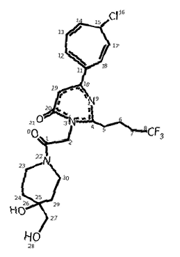 O=C(Cn1c(CCCC(F)(F)F)nc(C2=CC=CC(Cl)C=C2)cc1=O)N1CCC(O)(CO)CC1